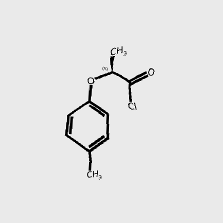 Cc1ccc(O[C@@H](C)C(=O)Cl)cc1